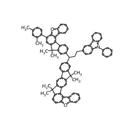 Cc1ccc(-c2cc3c(c4c2oc2ccccc24)-c2ccc(C(CCc4ccc5c(c4)c4ccccc4n5-c4ccccc4)c4ccc5c(c4)C(C)(C)c4cc6c(cc4-5)C(C)(C)c4ccc5oc7ccccc7c5c4-6)cc2C3(C)C)c(C)c1